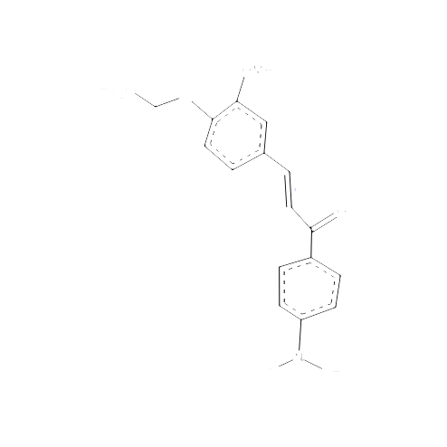 COc1cc(/C=C/C(=O)c2ccc(N(C)C)cc2)ccc1OCC(=O)O